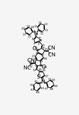 N#CC(C#N)=c1/c(=C/c2ccc(N(c3ccccc3)c3ccccc3)s2)c(=O)c2cc3c(=C(C#N)C#N)/c(=C/c4ccc(N(c5ccccc5)c5ccccc5)s4)c(=O)c3cc12